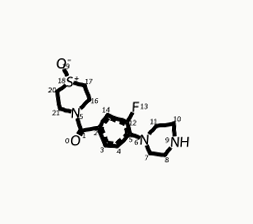 O=C(c1ccc(N2CCNCC2)c(F)c1)N1CC[S+]([O-])CC1